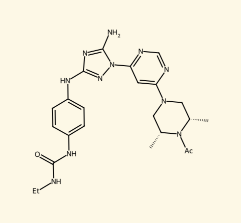 CCNC(=O)Nc1ccc(Nc2nc(N)n(-c3cc(N4C[C@@H](C)N(C(C)=O)[C@@H](C)C4)ncn3)n2)cc1